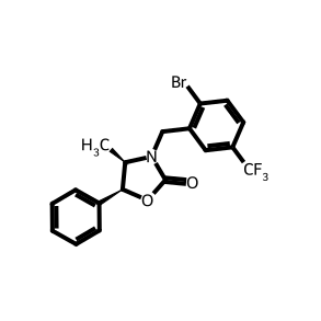 C[C@@H]1[C@H](c2ccccc2)OC(=O)N1Cc1cc(C(F)(F)F)ccc1Br